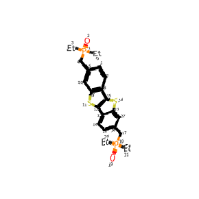 CCP(=O)(CC)Cc1ccc2c(c1)sc1c3ccc(CP(=O)(CC)CC)cc3sc21